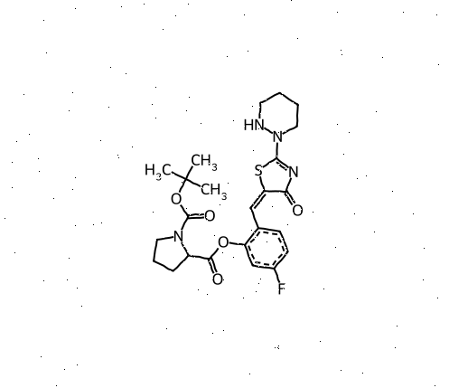 CC(C)(C)OC(=O)N1CCCC1C(=O)Oc1cc(F)ccc1/C=C1/SC(N2CCCCN2)=NC1=O